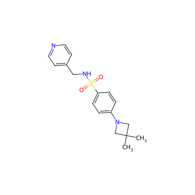 CC1(C)CN(c2ccc(S(=O)(=O)NCc3ccncc3)cc2)C1